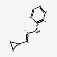 C(=NNc1ccccc1)C1CC1